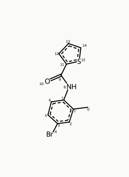 Cc1cc(Br)ccc1NC(=O)c1cccs1